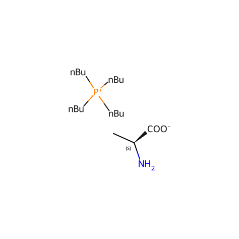 CCCC[P+](CCCC)(CCCC)CCCC.C[C@H](N)C(=O)[O-]